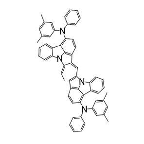 C/C=c1\c(=C/c2cc3ccc(N(c4ccccc4)c4cc(C)cc(C)c4)c4c5ccccc5n2c34)c2ccc(N(c3ccccc3)c3cc(C)cc(C)c3)c3c4ccccc4n1c23